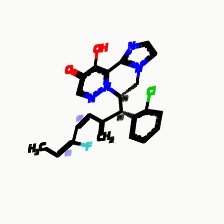 C=C(/C=C\C(F)=C/C)[C@@H](c1ccccc1Cl)[C@H]1Cn2ccnc2-c2c(O)c(=O)cnn21